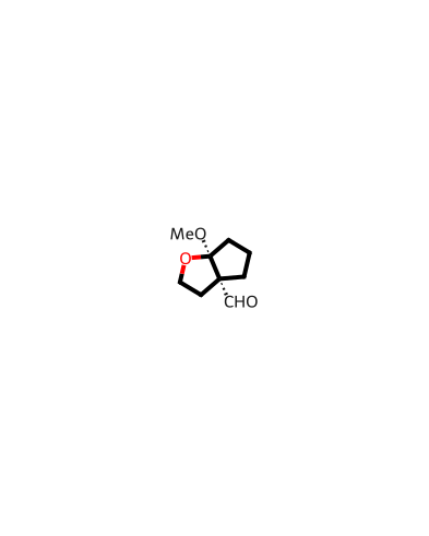 CO[C@]12CCC[C@@]1(C=O)CCO2